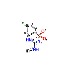 CC(C)NC1=NS(=O)(=O)c2ccc(F)cc2N1